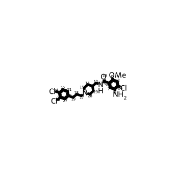 COc1cc(Cl)c(N)cc1C(=O)NCC1CCN(CC[CH]c2ccc(Cl)c(Cl)c2)CC1